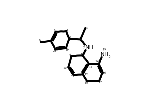 CC1=CCC(C(C)NC2CC=CC3=C2C(N)=CCC3)C=C1